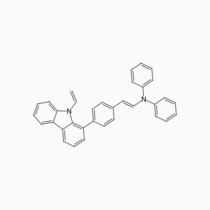 C=Cn1c2ccccc2c2cccc(-c3ccc(C=CN(c4ccccc4)c4ccccc4)cc3)c21